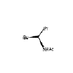 CC[C@H](C)[C@H](NC(C)=O)C(C)C